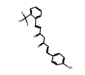 O=C(/C=C/c1ccc(O)cc1)CC(=O)/C=C/c1ccccc1C(F)(F)F